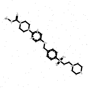 CC(C)(C)OC(=O)N1CCN(c2ncc(OCc3ccc(S(=O)(=O)CCN4CCOCC4)cc3)cn2)CC1